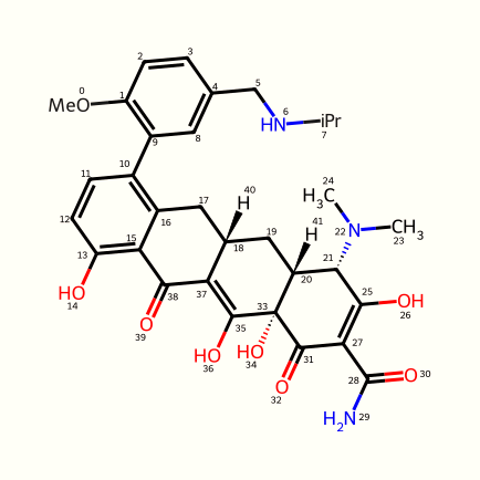 COc1ccc(CNC(C)C)cc1-c1ccc(O)c2c1C[C@@H]1C[C@@H]3[C@H](N(C)C)C(O)=C(C(N)=O)C(=O)[C@@]3(O)C(O)=C1C2=O